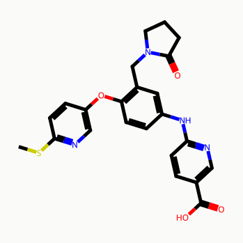 CSc1ccc(Oc2ccc(Nc3ccc(C(=O)O)cn3)cc2CN2CCCC2=O)cn1